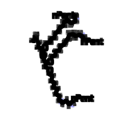 CCCCC/C=C\C/C=C\CCCCCCCCOCC(COCC(CCN(C)C)OCCCCCCCC/C=C\C/C=C\CCCCC)OCCCCCCCC/C=C\C/C=C\CCCCC